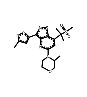 Cc1cc(-c2nsc3c(C(C)(C)S(C)(=O)=O)cc(N4CCOCC4C)nc23)[nH]n1